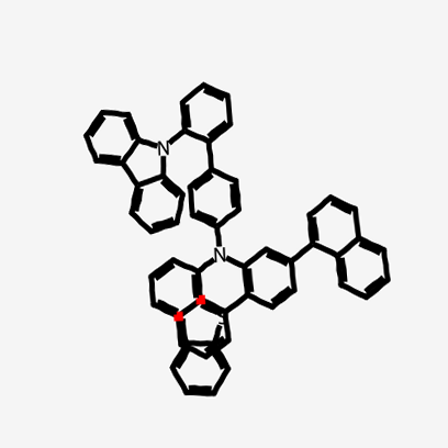 c1ccc(-c2ccc(-c3cccc4ccccc34)cc2N(c2ccc(-c3ccccc3-n3c4ccccc4c4ccccc43)cc2)c2cccc3c2sc2ccccc23)cc1